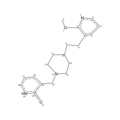 COc1ncccc1CCC1CCN(Cc2ccc[nH]c2=O)CC1